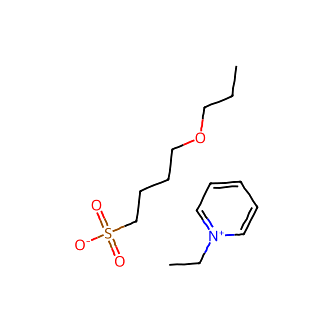 CCCOCCCCS(=O)(=O)[O-].CC[n+]1ccccc1